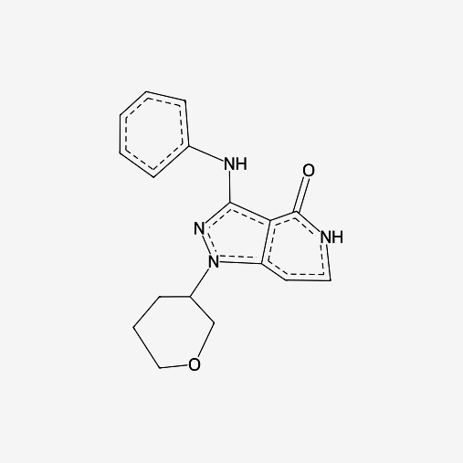 O=c1[nH]ccc2c1c(Nc1ccccc1)nn2C1CCCOC1